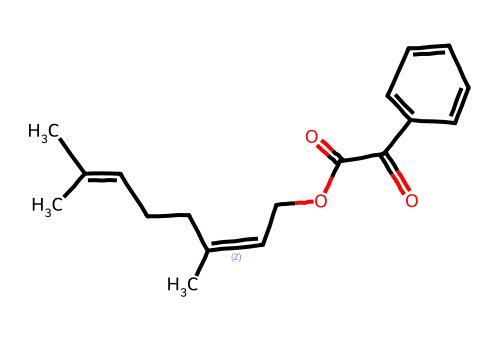 CC(C)=CCC/C(C)=C\COC(=O)C(=O)c1ccccc1